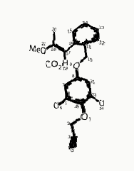 C#CCOc1c(Cl)cc(OCc2ccccc2C(C(=O)O)=C(C)OC)cc1Cl